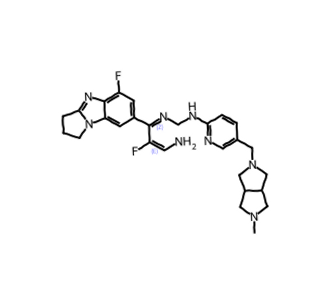 CN1CC2CN(Cc3ccc(NC/N=C(\C(F)=C/N)c4cc(F)c5nc6n(c5c4)CCC6)nc3)CC2C1